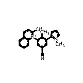 Cc1c(-c2cccn2C)cc(C#N)cc1-[n+]1c(C)ccc2ccccc21